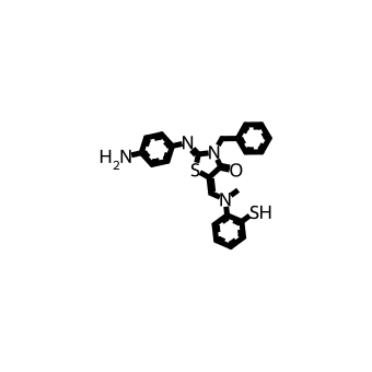 CN(/C=C1/SC(=Nc2ccc(N)cc2)N(Cc2ccccc2)C1=O)c1ccccc1S